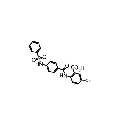 O=C(Nc1ccc(Br)cc1C(=O)O)c1ccc(NS(=O)(=O)c2ccccc2)cc1